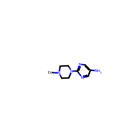 CCN1CCN(c2ncc(N)cn2)CC1